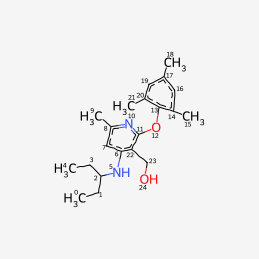 CCC(CC)Nc1cc(C)nc(Oc2c(C)cc(C)cc2C)c1CO